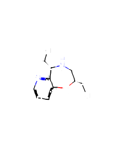 CC[C@@H]1CN[C@H](CC)c2ncccc2O1